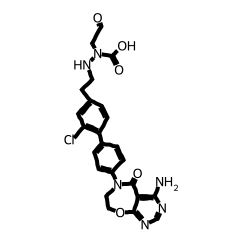 Nc1ncnc2c1C(=O)N(c1ccc(-c3ccc(CCNN(CC=O)C(=O)O)cc3Cl)cc1)CCO2